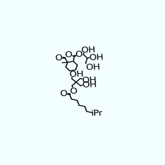 CC(C)CCCCCC(=O)OCC(CO)(CO)CO.CC12CCCCC1C(=O)OC2=O.OCC(O)CO